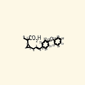 CC(C(=O)O)C1CC1CC=Cc1ccc(Oc2ccccc2)cc1